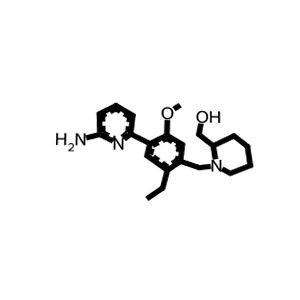 CCc1cc(-c2cccc(N)n2)c(OC)cc1CN1CCCCC1CO